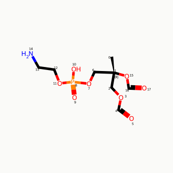 C[C@@](COC=O)(COP(=O)(O)OCCN)OC=O